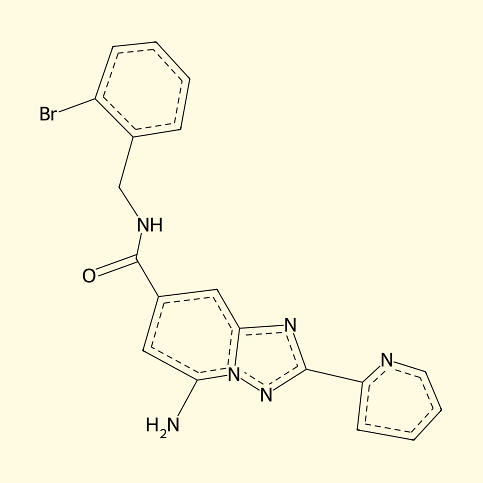 Nc1cc(C(=O)NCc2ccccc2Br)cc2nc(-c3ccccn3)nn12